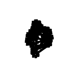 c1cc2oc3cc4c5cc6c7c8c5c5c9c%10c%11c%12c%13c%14c%15c(c%16c-7c(ccc%16c7ccc%16cc%17cc%18c%19cccc%20oc%21cc%22c%23cc%24oc%25ccc%26c%27ccc%28cc%29cc%30c(c1)c2c3c1c4c5c2c%10c3c(c%28c%27c4c5c%26c%25c%24c%10c%23c%23c%24c%22c(c%21c%20%19)c%18c%18c%17c(c%16c7%15)c%14c(c%12c%23c(c%11c43)c%105)c%18%24)c%29c2c%301)C6)C8C9%13